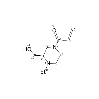 C=CC(=O)N1CCN(CC)[C@@H](CO)C1